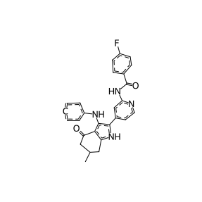 CC1CC(=O)c2c([nH]c(-c3ccnc(NC(=O)c4ccc(F)cc4)c3)c2Nc2ccccc2)C1